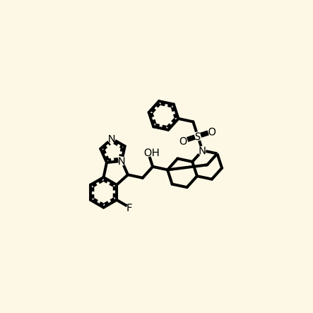 O=S(=O)(Cc1ccccc1)N1C2CCC3CCC(C(O)CC4c5c(F)cccc5-c5cncn54)(C2)CC31